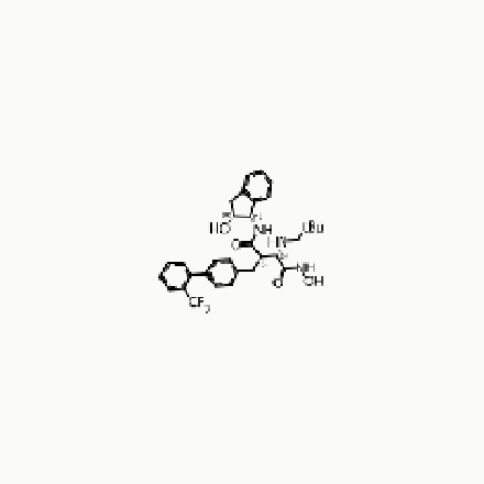 CC(C)(C)CN[C@H](C(=O)NO)[C@@H](Cc1ccc(-c2ccccc2C(F)(F)F)cc1)C(=O)N[C@H]1c2ccccc2C[C@H]1O